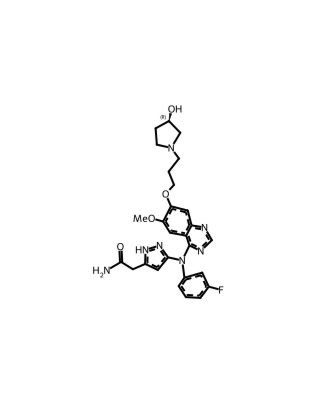 COc1cc2c(N(c3cccc(F)c3)c3cc(CC(N)=O)[nH]n3)ncnc2cc1OCCCN1CC[C@@H](O)C1